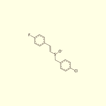 [O-][S+](C=Cc1ccc(F)cc1)Cc1ccc(Cl)cc1